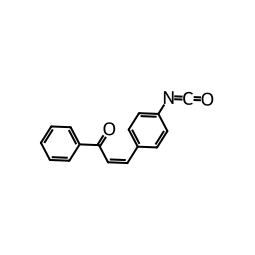 O=C=Nc1ccc(/C=C\C(=O)c2ccccc2)cc1